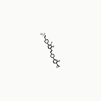 C/C=C/C1CCC(c2ccc(/C=C/C3CCC(c4ccc(C5CO5)c(F)c4)CC3)c(F)c2F)CC1